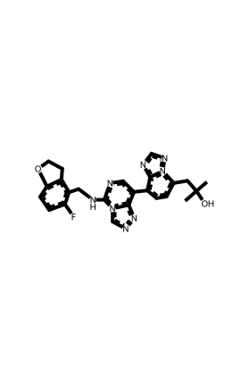 CC(C)(O)Cc1ccc(-c2cnc(NCc3c(F)ccc4c3CCO4)n3cnnc23)c2ncnn12